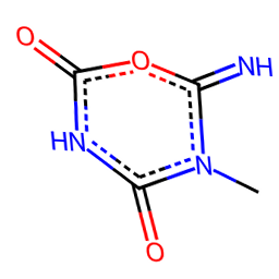 Cn1c(=O)[nH]c(=O)oc1=N